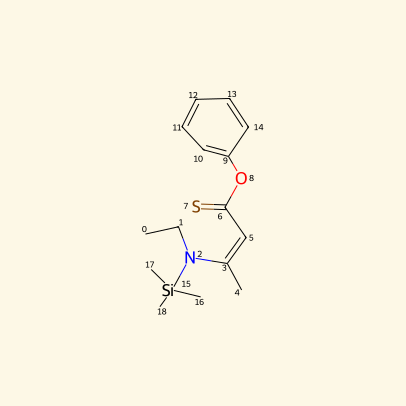 CCN(/C(C)=C\C(=S)Oc1ccccc1)[Si](C)(C)C